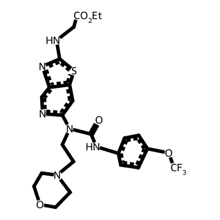 CCOC(=O)CNc1nc2cnc(N(CCN3CCOCC3)C(=O)Nc3ccc(OC(F)(F)F)cc3)cc2s1